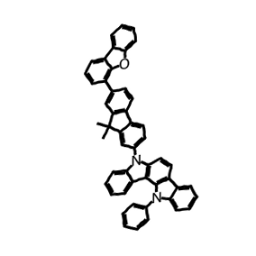 CC1(C)c2cc(-c3cccc4c3oc3ccccc34)ccc2-c2ccc(-n3c4ccccc4c4c3ccc3c5ccccc5n(-c5ccccc5)c34)cc21